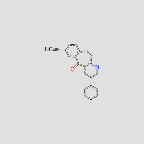 C#Cc1ccc2ccc3ncc(-c4ccccc4)cc3c(=O)c2c1